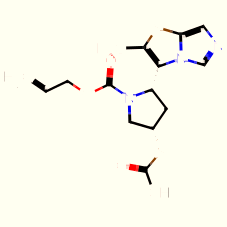 C=CCOC(=O)N1C[C@@H](SC(C)=O)C[C@H]1c1c(C)sc2cncn12